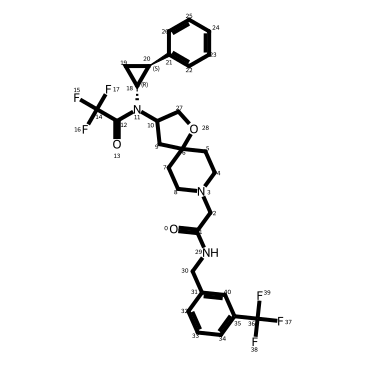 O=C(CN1CCC2(CC1)CC(N(C(=O)C(F)(F)F)[C@@H]1C[C@H]1c1ccccc1)CO2)NCc1cccc(C(F)(F)F)c1